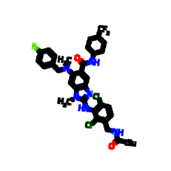 CN(Cc1ccc(F)cc1)c1cc2c(cc1C(=O)NC1CCC(C(F)(F)F)CC1)nc(Nc1c(Cl)ccc(CNC(=O)C(C)(C)C)c1Cl)n2C